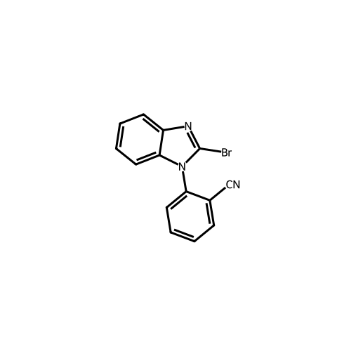 N#Cc1ccccc1-n1c(Br)nc2ccccc21